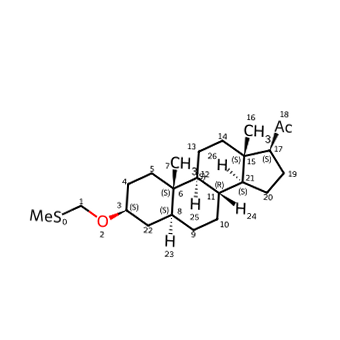 CSCO[C@H]1CC[C@@]2(C)[C@@H](CC[C@@H]3[C@@H]2CC[C@]2(C)[C@@H](C(C)=O)CC[C@@H]32)C1